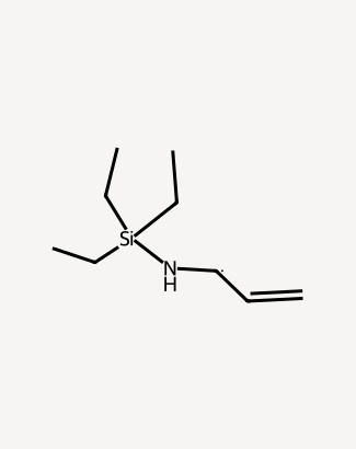 C=C[CH]N[Si](CC)(CC)CC